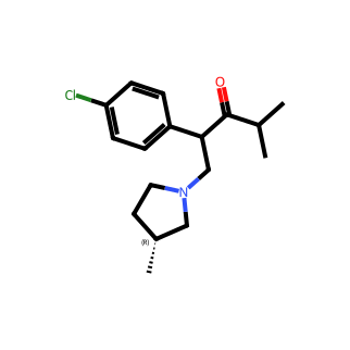 CC(C)C(=O)C(CN1CC[C@@H](C)C1)c1ccc(Cl)cc1